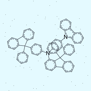 c1ccc(C2(c3ccc(N(c4ccc(-n5c6ccccc6c6ccccc65)cc4)c4cccc5c4C(c4ccccc4)(c4ccccc4)c4ccccc4-5)cc3)c3ccccc3-c3ccccc32)cc1